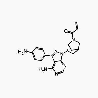 C=CC(=O)N1CC2CC1C(n1nc(-c3ccc(N)cc3)c3c(N)ncnc31)C2